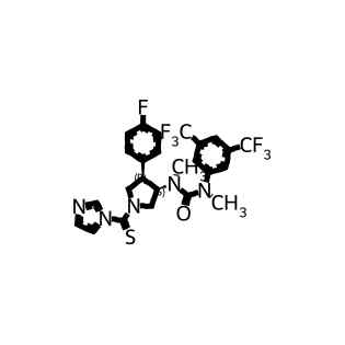 CN(C(=O)N(C)[C@@H]1CN(C(=S)n2ccnc2)C[C@H]1c1ccc(F)cc1)c1cc(C(F)(F)F)cc(C(F)(F)F)c1